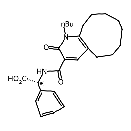 CCCCn1c2c(cc(C(=O)N[C@@H](C(=O)O)c3ccccc3)c1=O)CCCCCCCC2